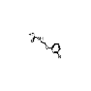 O=C(O)NCCOc1cccc(Br)n1